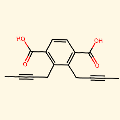 CC#CCc1c(C(=O)O)ccc(C(=O)O)c1CC#CC